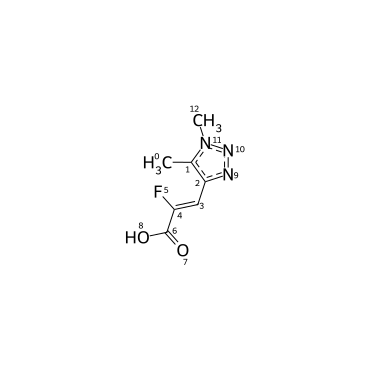 Cc1c(/C=C(\F)C(=O)O)nnn1C